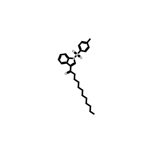 CCCCCCCCCCCC(=O)c1cn(S(=O)(=O)c2ccc(C)cc2)c2ccccc12